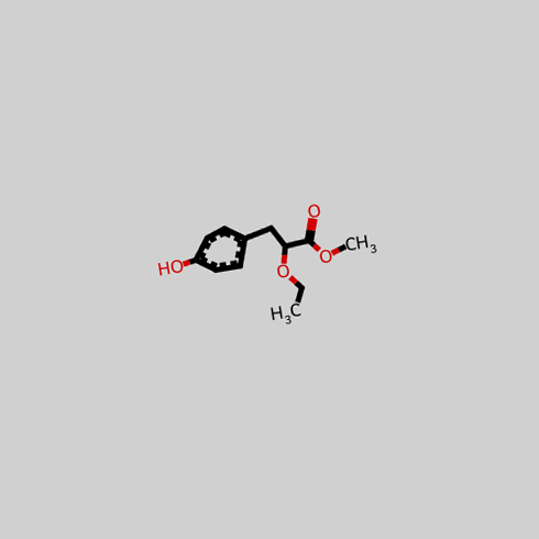 CCOC(Cc1ccc(O)cc1)C(=O)OC